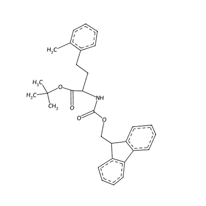 Cc1ccccc1CCC(NC(=O)OCC1c2ccccc2-c2ccccc21)C(=O)OC(C)(C)C